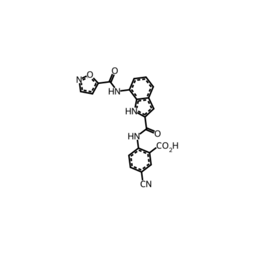 N#Cc1ccc(NC(=O)c2cc3cccc(NC(=O)c4ccno4)c3[nH]2)c(C(=O)O)c1